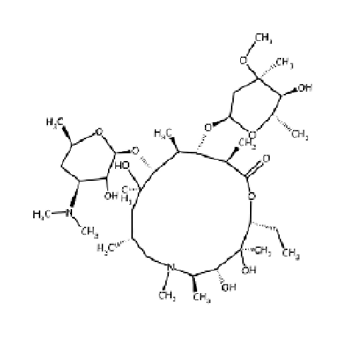 CC[C@H]1OC(=O)[C@H](C)[C@@H](O[C@H]2C[C@@](C)(OC)[C@@H](O)[C@H](C)O2)[C@H](C)[C@@H](O[C@@H]2O[C@H](C)C[C@H](N(C)C)C2O)[C@](C)(O)C[C@@H](C)CN(C)[C@H](C)[C@@H](O)[C@]1(C)O